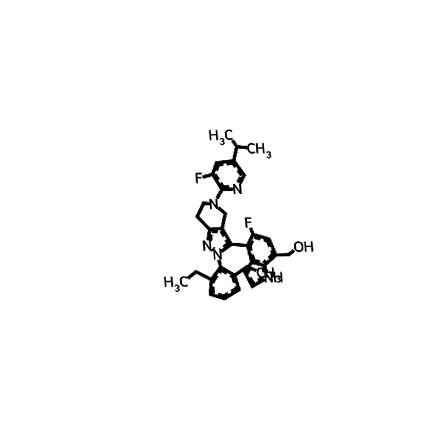 CCc1cccc(CC)c1-n1nc2c(c1-c1c(F)cc(CO)c3[nH]ccc13)CN(c1ncc(C(C)C)cc1F)CC2